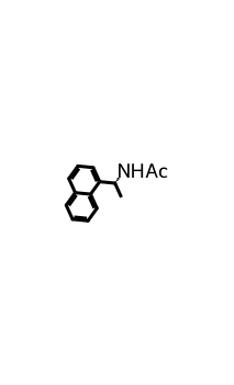 CC(=O)N[C@H](C)c1cccc2ccccc12